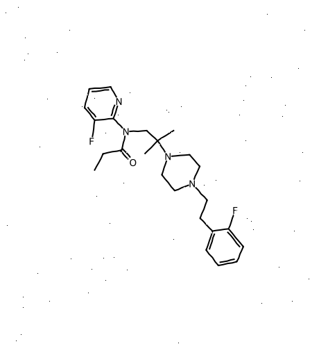 CCC(=O)N(CC(C)(C)N1CCN(CCc2ccccc2F)CC1)c1ncccc1F